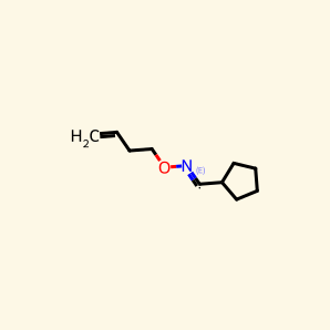 C=CCCO/N=[C]/C1CCCC1